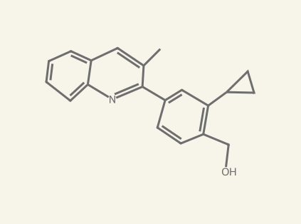 Cc1cc2ccccc2nc1-c1ccc(CO)c(C2CC2)c1